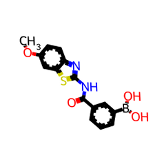 COc1ccc2nc(NC(=O)c3cccc(B(O)O)c3)sc2c1